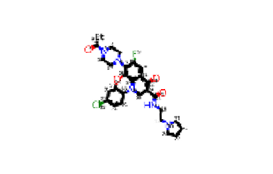 CCC(=O)N1CCN(c2c(F)cc3c(=O)c(C(=O)NCCN4CCCC4)cn4c3c2Oc2cc(Cl)ccc2-4)CC1